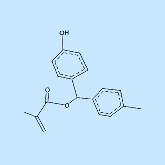 C=C(C)C(=O)OC(c1ccc(C)cc1)c1ccc(O)cc1